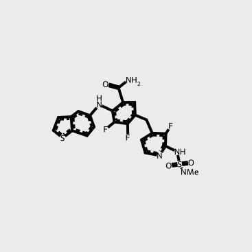 CNS(=O)(=O)Nc1nccc(Cc2cc(C(N)=O)c(Nc3ccc4sccc4c3)c(F)c2F)c1F